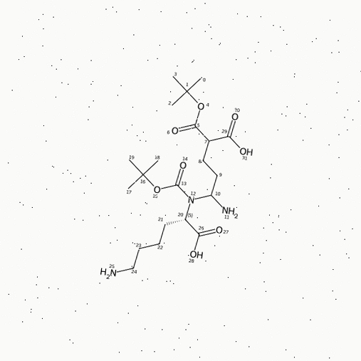 CC(C)(C)OC(=O)C(CCC(N)N(C(=O)OC(C)(C)C)[C@@H](CCCCN)C(=O)O)C(=O)O